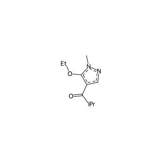 CCOc1c(C(=O)C(C)C)cnn1C